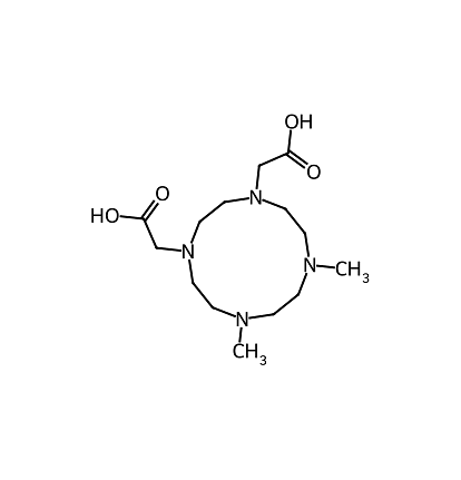 CN1CCN(C)CCN(CC(=O)O)CCN(CC(=O)O)CC1